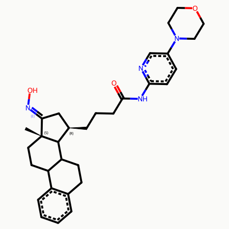 C[C@]12CCC3c4ccccc4CCC3C1[C@H](CCCC(=O)Nc1ccc(N3CCOCC3)cn1)C/C2=N\O